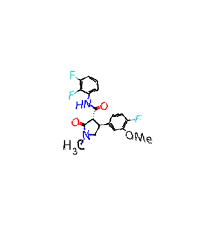 COc1cc([C@H]2CN(C)C(=O)[C@@H]2C(=O)Nc2cccc(F)c2F)ccc1F